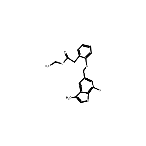 CCOC(=O)Cc1ccccc1OCc1cc(Br)c2occ(C)c2c1